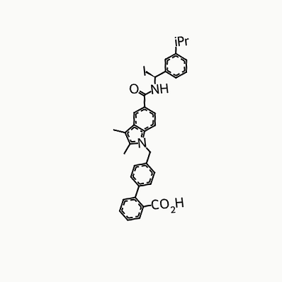 Cc1c(C)n(Cc2ccc(-c3ccccc3C(=O)O)cc2)c2ccc(C(=O)N[C@@H](I)c3cccc(C(C)C)c3)cc12